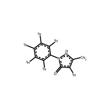 [2H]c1c([2H])c([2H])c(-n2[nH]c(C)c([2H])c2=O)c([2H])c1[2H]